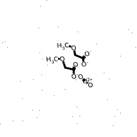 COCC(=O)[O-].COCC(=O)[O-].[O]=[U+2]=[O]